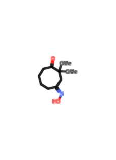 COC1(OC)CC(=NO)CCCCC1=O